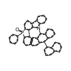 O=P1(c2ccccc2)c2ccccc2-c2c1ccc1c3ccccc3n(-c3c4ccccc4c(-c4cccc5ccccc45)c4ccccc34)c21